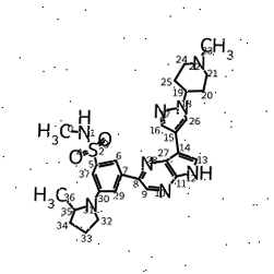 CNS(=O)(=O)c1cc(-c2cnc3[nH]cc(-c4cnn(C5CCN(C)CC5)c4)c3n2)cc(N2CCCC2C)c1